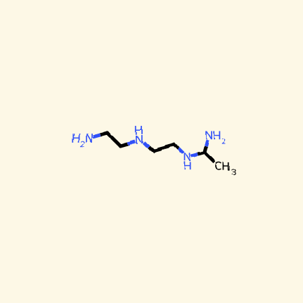 CC(N)NCCNCCN